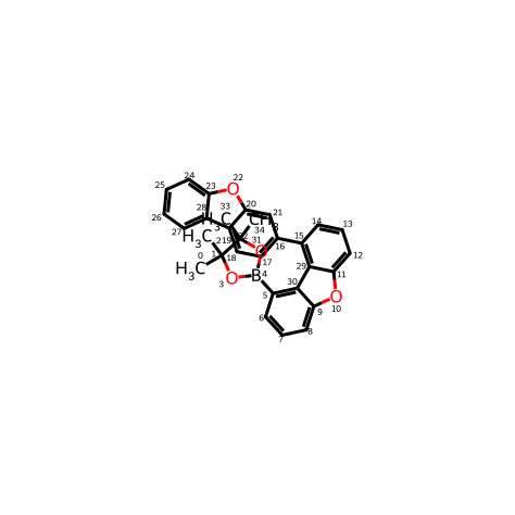 CC1(C)OB(c2cccc3oc4cccc(-c5ccc6c(c5)oc5ccccc56)c4c23)OC1(C)C